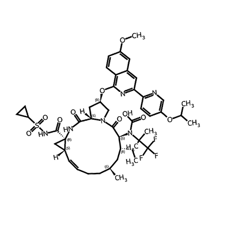 CC[C@@H]1C[C@@H](C)CCC=C[C@@H]2C[C@@]2(C(=O)NS(=O)(=O)C2CC2)NC(=O)[C@@H]2C[C@@H](Oc3nc(-c4ccc(OC(C)C)cn4)cc4cc(OC)ccc34)CN2C(=O)[C@H]1N(C(=O)O)C(C)(C)C(F)(F)F